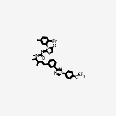 Cc1ccc(C(C)C)c(N2C(=O)CS/C2=N\C(=O)NC(C)C(C)/C=C/c2cccc(-c3ncn(-c4ccc(OC(F)(F)F)cc4)n3)c2)c1